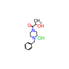 CC(O)C(=O)N1CCN(Cc2ccccc2)CC1.Cl